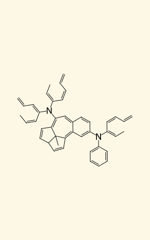 C=C/C=C\C(=C/C)N(C1=C2C=CC3C=CC(=c4cc(N(C(/C=C\C=C)=C/C)c5ccccc5)ccc4=C1)C23C)C(/C=C\C)=C/C=C